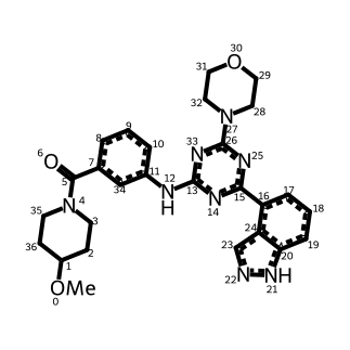 COC1CCN(C(=O)c2cccc(Nc3nc(-c4cccc5[nH]ncc45)nc(N4CCOCC4)n3)c2)CC1